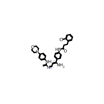 C=C(/N=C\C=C(/N)c1ccc(NC(=O)CCc2ccccc2Cl)cc1)Nc1ccc(N2CCOCC2)cc1